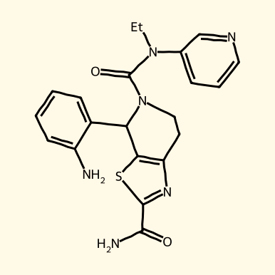 CCN(C(=O)N1CCc2nc(C(N)=O)sc2C1c1ccccc1N)c1cccnc1